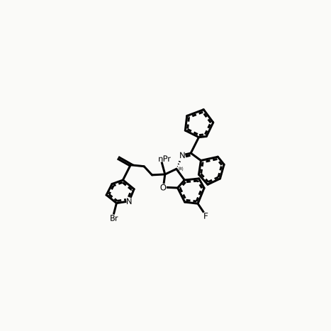 C=C(CCC1(CCC)Oc2cc(F)ccc2[C@H]1N=C(c1ccccc1)c1ccccc1)c1ccc(Br)nc1